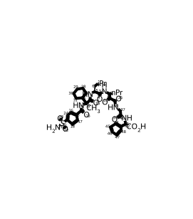 CCCC(NC(=O)[C@H](CC(C)C)NC(=O)[C@@](C)(NC(=O)c1ccc(S(N)(=O)=O)cc1)C1CCCCC1)C(=O)C(=O)NCC(=O)N[C@H](C(=O)O)c1ccccc1